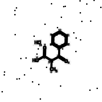 CN(C(=O)O)C(=O)c1ccccc1.Cl